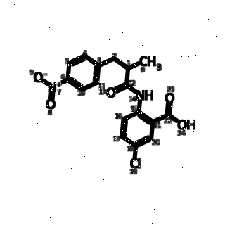 CC(Cc1ccc([N+](=O)[O-])cc1)C(=O)Nc1ccc(Cl)cc1C(=O)O